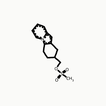 CS(=O)(=O)OCC1CCc2c(cc3ccccn23)C1